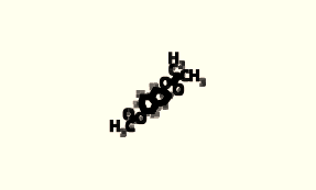 C=C(C)C(=O)OC1CCC2CC(OC(C)=O)CCC2C1